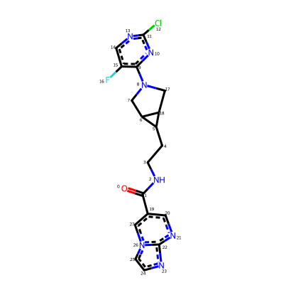 O=C(NCCC1C2CN(c3nc(Cl)ncc3F)CC12)c1cnc2nccn2c1